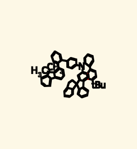 CC(C)(C)c1ccc(-c2ccccc2N(c2ccc(-c3ccccc3-c3cccc4c3C(C)(C)c3ccccc3-4)cc2)c2ccc3c(c2)C2(CCc4ccccc42)c2ccccc2-3)cc1